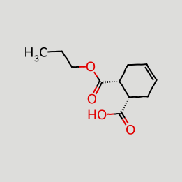 CCCOC(=O)[C@@H]1CC=CC[C@@H]1C(=O)O